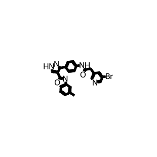 Cc1ccc2oc(-c3c[nH]nc3-c3ccc(NC(=O)Cc4cncc(Br)c4)cc3)nc2c1